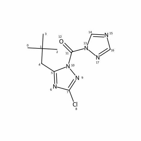 CC(C)(C)Cc1nc(Cl)nn1C(=O)n1cncn1